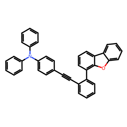 C(#Cc1ccccc1-c1cccc2c1oc1ccccc12)c1ccc(N(c2ccccc2)c2ccccc2)cc1